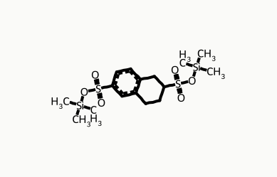 C[Si](C)(C)OS(=O)(=O)c1ccc2c(c1)CCC(S(=O)(=O)O[Si](C)(C)C)C2